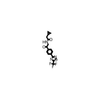 O=C(CC1CC1)NCC(=O)c1ccc(-c2noc(C(F)(F)F)n2)cc1